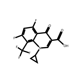 O=C(O)c1cn(C2CC2)c2c(C(F)(F)F)c(F)cc(F)c2c1=O